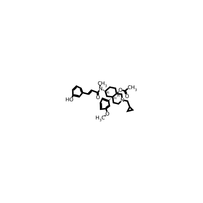 COc1cccc([C@@]23CCN(CC4CC4)C[C@@]2(OC(C)=O)CC[C@@H](N(C)C(=O)C=Cc2cccc(O)c2)C3)c1